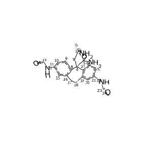 C[C@H](N)CC1(C(N)=O)c2ccc(NC=O)cc2CCc2cc(NC=O)ccc21